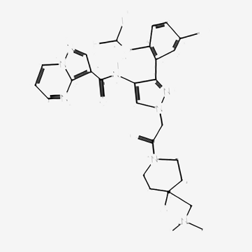 CN(C)CC1(O)CCN(C(=O)Cn2cc(NC(=O)c3cnn4cccnc34)c(-c3cc(Cl)ccc3OC(F)F)n2)CC1